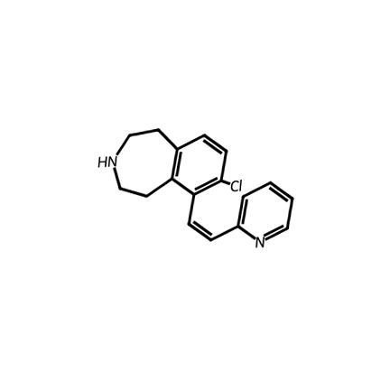 Clc1ccc2c(c1/C=C\c1ccccn1)CCNCC2